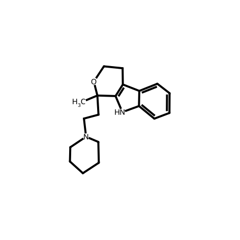 CC1(CCN2CCCCC2)OCCc2c1[nH]c1ccccc21